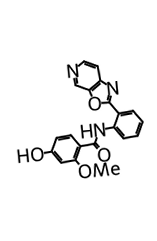 COc1cc(O)ccc1C(=O)Nc1ccccc1-c1nc2ccncc2o1